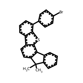 CC1(C)c2ccccc2-c2c1ccc1c2sc2c(-c3ccc(Br)cc3)cccc21